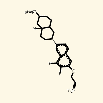 C=CCOc1cc2ccc([C@@H]3CC[C@@H]4CC(CCCCCCC)CCC4C3)cc2c(F)c1F